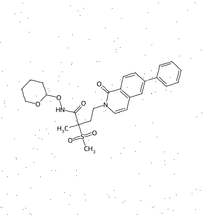 CC(CCn1ccc2cc(-c3ccccc3)ccc2c1=O)(C(=O)NOC1CCCCO1)S(C)(=O)=O